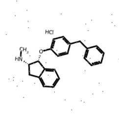 CN[C@H]1Cc2ccccc2[C@H]1Oc1ccc(Cc2ccccc2)cc1.Cl